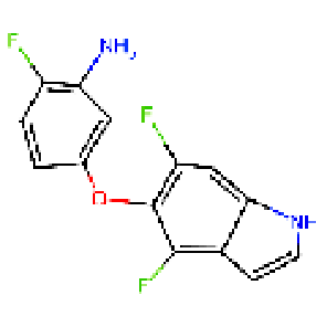 Nc1cc(Oc2c(F)cc3[nH]ccc3c2F)ccc1F